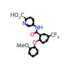 COc1ccccc1Oc1ccc(C(F)(F)F)cc1C(=O)Nc1ccc(C(=O)O)nc1